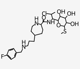 CSC1OC(C(NC(=O)C2CCC(CCCNCc3ccc(F)cc3)CCN2)C(C)Cl)C(O)C(O)C1O